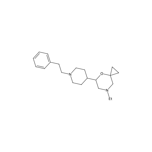 CCN1CC(C2CCN(CCc3ccccc3)CC2)OC2(CC2)C1